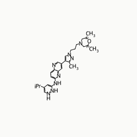 Cc1nn(CCCN2C[C@@H](C)O[C@@H](C)C2)cc1-c1cnc2ccc(NC3=CC(C(C)C)=CNN3)nc2c1